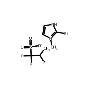 CCc1[nH]cc[n+]1C.O=S(=O)([O-])C(F)(F)C(F)C(F)(F)F